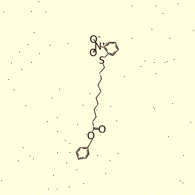 O=C(CCCCCCCCCCSc1ccccc1[N+](=O)[O-])OCc1ccccc1